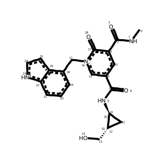 CNC(=O)c1cc(C(=O)N[C@H]2C[C@@H]2CO)cn(Cc2cccc3[nH]ccc23)c1=O